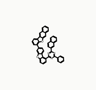 c1ccc(-c2nc(-c3ccc4ccccc4c3)nc(-c3cccc4oc5cc(-c6cccc7c6oc6cc8ccccc8cc67)ccc5c34)n2)cc1